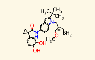 BC[C@@H](COC)Cn1c(C(C)(C)C)cc2cc(NC(=O)C3(c4ccc(O)c(O)c4)CC3)ccc21